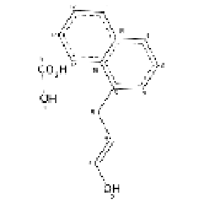 O=C(O)O.OC=CCc1cccc2ccccc12